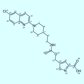 O=C(NCCC1CCN(c2ccc3cc(Cl)ccc3n2)CC1)OCc1cc(C(=O)O)no1